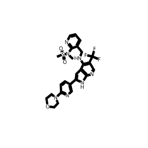 CN(c1ncccc1CNc1c(C(F)(F)F)cnc2[nH]c(-c3ccc(N4CCOCC4)nc3)cc12)S(C)(=O)=O